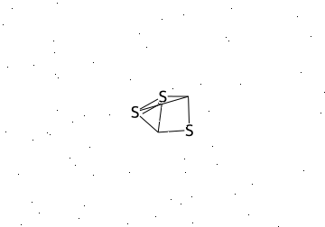 S1C2S3=S2C13